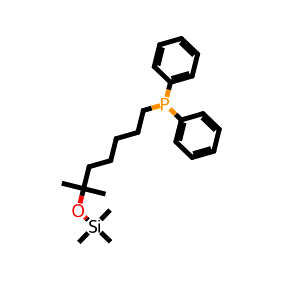 CC(C)(CCCCCP(c1ccccc1)c1ccccc1)O[Si](C)(C)C